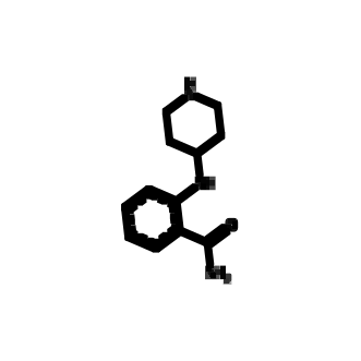 NC(=O)c1ccccc1NC1CCNCC1